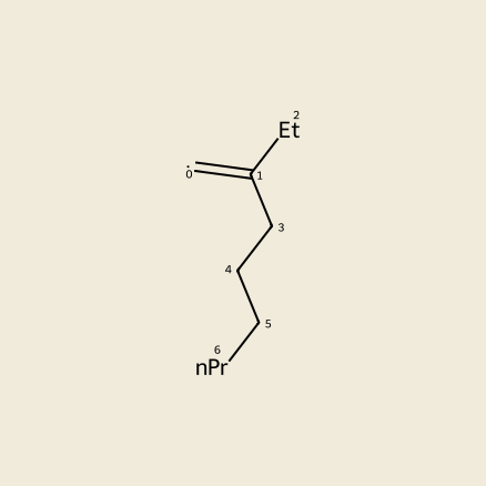 [CH]=C(CC)CCCCCC